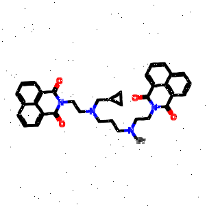 CC(C)N(CCCN(CCN1C(=O)c2cccc3cccc(c23)C1=O)CC1CC1)CCN1C(=O)c2cccc3cccc(c23)C1=O